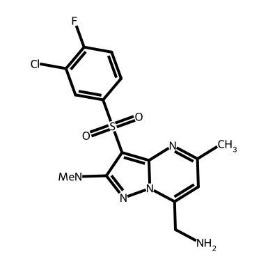 CNc1nn2c(CN)cc(C)nc2c1S(=O)(=O)c1ccc(F)c(Cl)c1